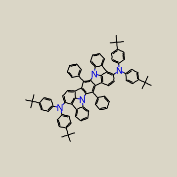 CC(C)(C)c1ccc(N(c2ccc(C(C)(C)C)cc2)c2ccc3c4c(-c5ccccc5)c5c(c(-c6ccccc6)c4n4c6ccccc6c2c34)c2ccc(N(c3ccc(C(C)(C)C)cc3)c3ccc(C(C)(C)C)cc3)c3c4ccccc4n5c23)cc1